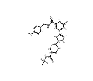 COc1ccc(CNC(=O)c2cc(C3=NOC(C4CCN(C(=O)OC(C)(C)C)CC4)C3)nc(C)n2)cc1